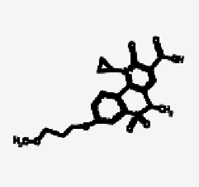 COCCCOc1ccc2c(c1)S(=O)(=O)C(C)c1cc(C(=O)O)c(=O)n(C3CC3)c1-2